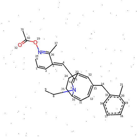 C\C=C/C(=C\C1=CN(CC)/C2=C/C=C(Cc3ccccc3C)\C=C\1CC2)C(/C)=N/OC(C)=O